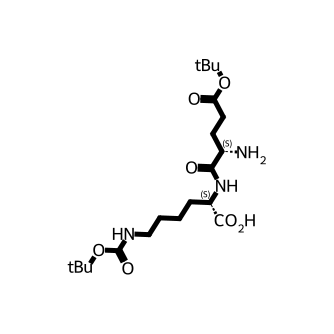 CC(C)(C)OC(=O)CC[C@H](N)C(=O)N[C@@H](CCCCNC(=O)OC(C)(C)C)C(=O)O